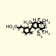 Cc1cc2c(cc1-c1cc(/C=C/C(=O)O)ccc1F)C(C)(C)COC2(C)C